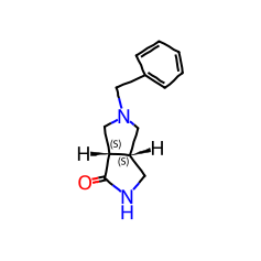 O=C1NC[C@H]2CN(Cc3ccccc3)C[C@@H]12